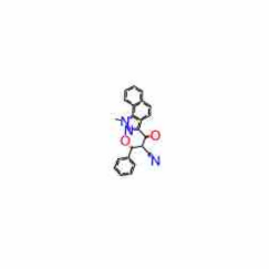 Cn1nc(C(=O)C(C#N)C(=O)c2ccccc2)c2ccc3ccccc3c21